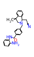 C=C1CN(Cc2ccc(C(=O)Nc3ccccc3N)cc2)C(CC#N)c2ccccc21